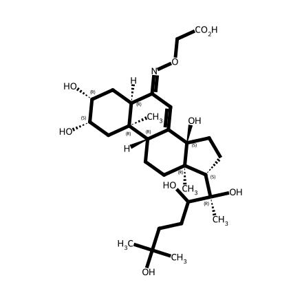 CC(C)(O)CCC(O)[C@](C)(O)[C@H]1CC[C@@]2(O)C3=CC(=NOCC(=O)O)[C@@H]4C[C@@H](O)[C@@H](O)C[C@]4(C)[C@H]3CC[C@]12C